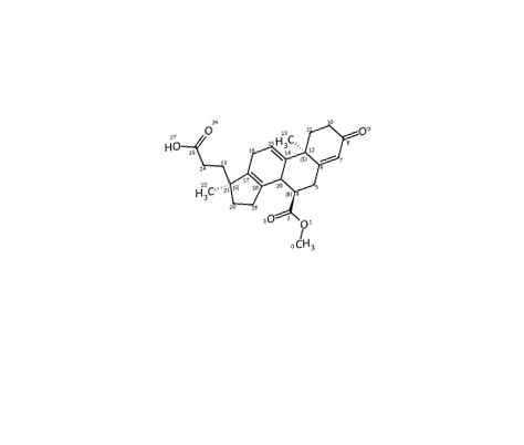 COC(=O)[C@@H]1CC2=CC(=O)CC[C@]2(C)C2=CCC3=C(CC[C@@]3(C)CCC(=O)O)C21